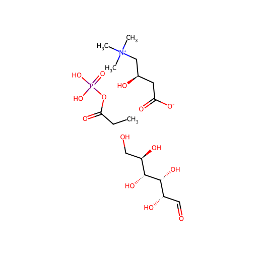 CCC(=O)OP(=O)(O)O.C[N+](C)(C)C[C@H](O)CC(=O)[O-].O=C[C@H](O)[C@@H](O)[C@H](O)[C@H](O)CO